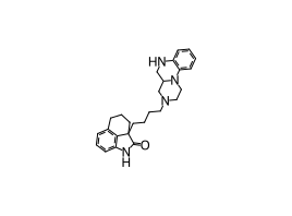 O=C1Nc2cccc3c2C1(CCCCN1CCN2c4ccccc4NCC2C1)CCC3